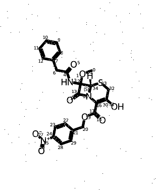 COC1(NC(=O)Cc2ccccc2)C(=O)N2C(C(=O)OCc3ccc([N+](=O)[O-])cc3)=C(O)CS[C@H]21